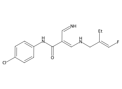 CC/C(=C\F)CN/C=C(\C=N)C(=O)Nc1ccc(Cl)cc1